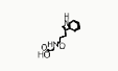 O=C(O)CNC(=O)CCc1c[nH]c2c1C=C=C=C2